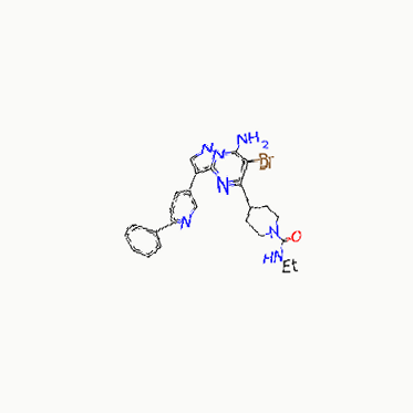 CCNC(=O)N1CCC(c2nc3c(-c4ccc(-c5ccccc5)nc4)cnn3c(N)c2Br)CC1